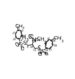 Cc1ccc(S(=O)(=O)SCC(CSS(=O)(=O)c2ccc(C)cc2)N(C)C)cc1